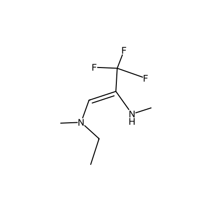 CCN(C)/C=C(\NC)C(F)(F)F